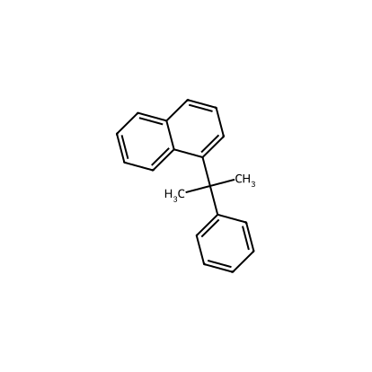 CC(C)(c1ccccc1)c1cccc2ccccc12